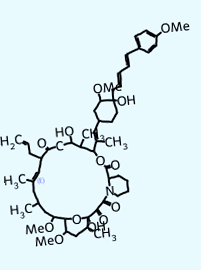 C=CCC1/C=C(\C)CC(C)CC(OC)C2OC(O)(C(=O)C(=O)N3CCCCC3C(=O)OC(C(C)=CC3CCC(O)(CC=CC=Cc4ccc(OC)cc4)C(OC)C3)C(C)C(O)CC1=O)C(C)CC2OC